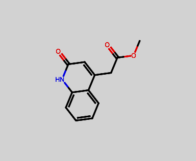 COC(=O)Cc1cc(=O)[nH]c2ccccc12